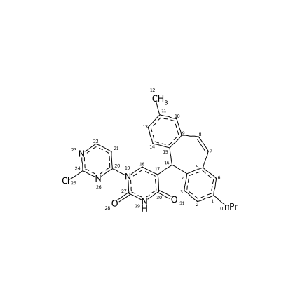 CCCc1ccc2c(c1)C=Cc1cc(C)ccc1C2c1cn(-c2ccnc(Cl)n2)c(=O)[nH]c1=O